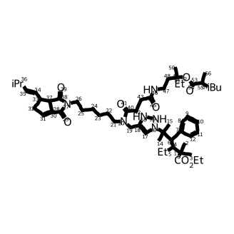 CCOC(=O)C(C)(C)C(CC)C(c1ccccc1)C(C)(C)N1C=C(CN(CCCCCCN2C(=O)C3=CCC(/C=C/C(C)C)C3C2=O)C(=O)CCC(=O)NCCC(C)(CC)OC(=O)C(C)C(C)CC)NN1